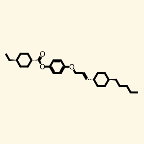 CCCCC[C@H]1CC[C@H](C=CCOc2ccc(OC(=O)[C@H]3CC[C@H](CC)CC3)cc2)CC1